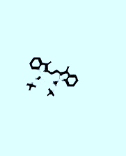 Cc1c(/C=C/c2c(C)c3ccccc3n2C(=O)OC(C)(C)C)n(C(=O)OC(C)(C)C)c2ccccc12